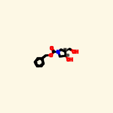 O=C(OCc1ccccc1)N1C[C@H](CO)[C@H](O)C1